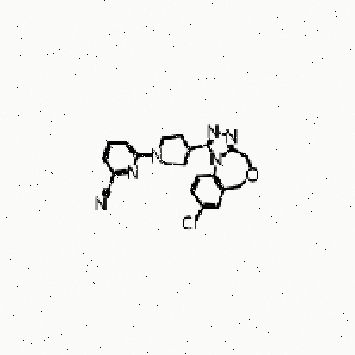 N#Cc1cccc(N2CCC(c3nnc4n3-c3ccc(Cl)cc3COC4)CC2)n1